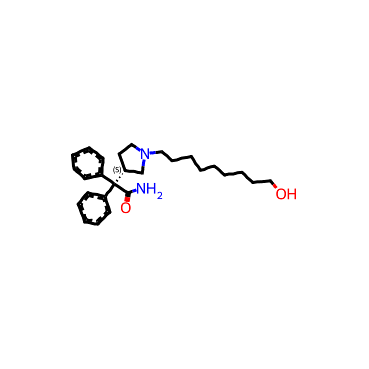 NC(=O)C(c1ccccc1)(c1ccccc1)[C@@H]1CCN(CCCCCCCCCO)C1